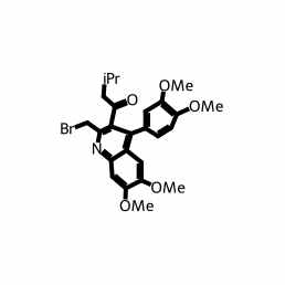 COc1ccc(-c2c(C(=O)CC(C)C)c(CBr)nc3cc(OC)c(OC)cc23)cc1OC